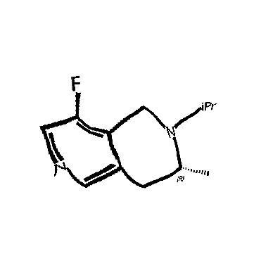 CC(C)N1Cc2c(F)cncc2C[C@H]1C